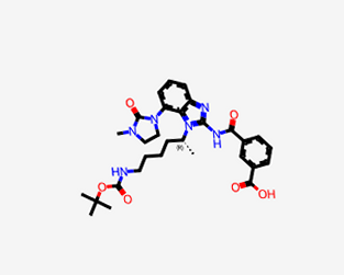 C[C@H](CCCCNC(=O)OC(C)(C)C)n1c(NC(=O)c2cccc(C(=O)O)c2)nc2cccc(N3CCN(C)C3=O)c21